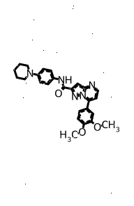 COc1ccc(-c2ccnc3cc(C(=O)Nc4ccc(N5CCCCC5)cc4)nn23)cc1OC